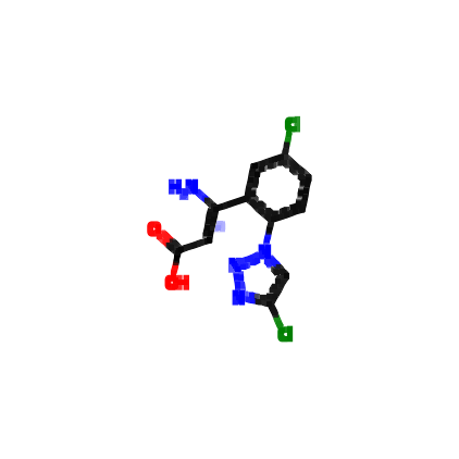 N/C(=C\C(=O)O)c1cc(Cl)ccc1-n1cc(Cl)nn1